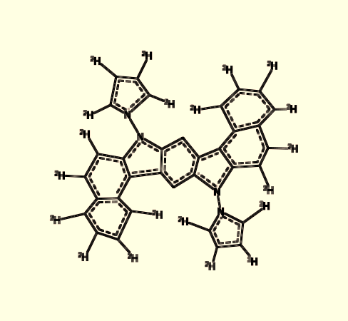 [2H]c1c([2H])c([2H])c2c(c1[2H])c([2H])c([2H])c1c2c2cc3c(cc2n1-n1c([2H])c([2H])c([2H])c1[2H])c1c2c([2H])c([2H])c([2H])c([2H])c2c([2H])c([2H])c1n3-n1c([2H])c([2H])c([2H])c1[2H]